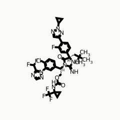 CC(C)(C)C[C@]1(c2ccc(-c3cnn(C4CC4)n3)c(F)c2)NC(=N)N([C@H](COC(=O)NC2(C(F)(F)F)CC2)c2ccc(Cl)c(-n3ncnc3C(F)F)c2)C1=O